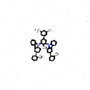 N#Cc1ccccc1-c1ccc2c(c1)c1ccccc1n2-c1cc(-c2cc(C(F)(F)F)cc(C(F)(F)F)c2)cc(-n2c3ccccc3c3cc(-c4ccccc4C#N)ccc32)c1C#N